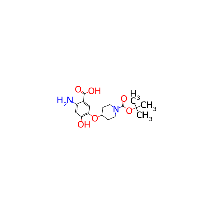 CC(C)(C)OC(=O)N1CCC(Oc2cc(C(=O)O)c(N)cc2O)CC1